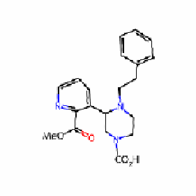 COC(=O)c1ncccc1C1CN(C(=O)O)CCN1CCc1ccccc1